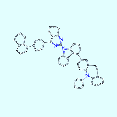 C1=Cc2cc(-c3cccc4c3c3ccccc3n4-c3nc(-c4ccc(-c5cccc6ccccc56)cc4)c4ccccc4n3)ccc2N(c2ccccc2)c2ccccc21